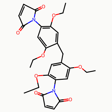 CCOc1cc(N2C(=O)C=CC2=O)c(OCC)cc1Cc1cc(OCC)c(N2C(=O)C=CC2=O)cc1OCC